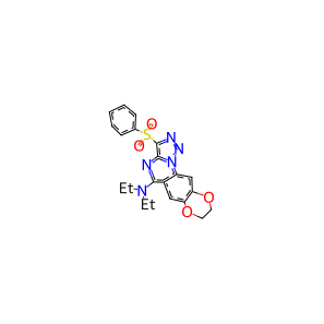 CCN(CC)c1nc2c(S(=O)(=O)c3ccccc3)nnn2c2cc3c(cc12)OCCO3